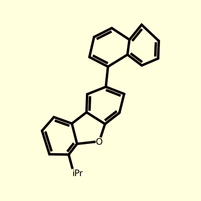 CC(C)c1cccc2c1oc1ccc(-c3cccc4ccccc34)cc12